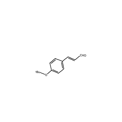 CC(C)(C)Oc1ccc(C=CC=O)cc1